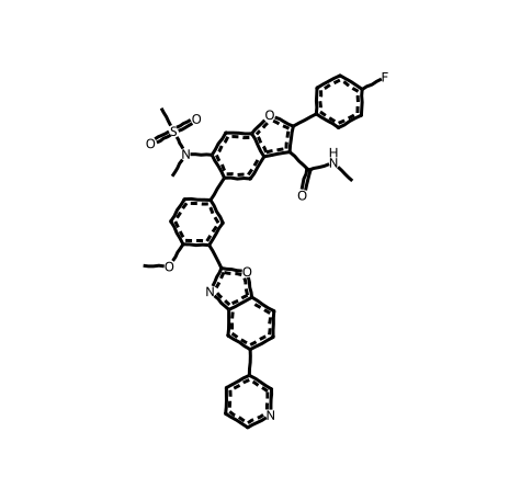 CNC(=O)c1c(-c2ccc(F)cc2)oc2cc(N(C)S(C)(=O)=O)c(-c3ccc(OC)c(-c4nc5cc(-c6cccnc6)ccc5o4)c3)cc12